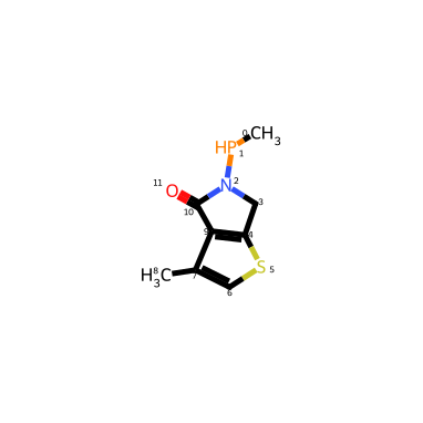 CPN1Cc2scc(C)c2C1=O